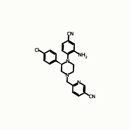 N#Cc1ccc(CN2CCN(c3ccc(C#N)cc3N)[C@H](c3ccc(Cl)cc3)C2)nc1